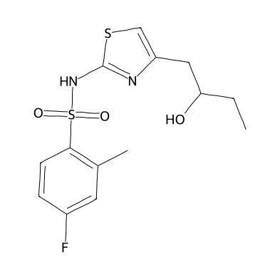 CCC(O)Cc1csc(NS(=O)(=O)c2ccc(F)cc2C)n1